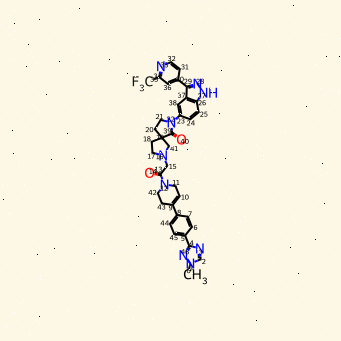 Cn1cnc(-c2ccc(C3=CCN(C(=O)CN4CCC5(CCN(c6ccc7[nH]nc(-c8ccnc(C(F)(F)F)c8)c7c6)C5=O)C4)CC3)cc2)n1